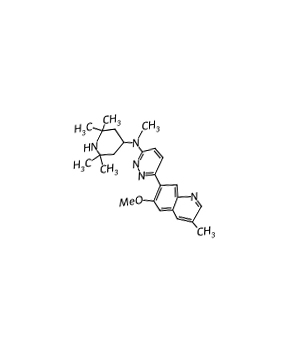 COc1cc2cc(C)cnc2cc1-c1ccc(N(C)C2CC(C)(C)NC(C)(C)C2)nn1